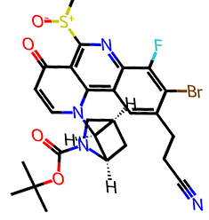 C[S+]([O-])c1nc2c(F)c(Br)c(CCC#N)cc2c2c1c(=O)ccn2[C@H]1[C@@H]2C[C@H]1N(C(=O)OC(C)(C)C)C2